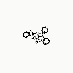 O=S(=O)(O)C(Nc1nc2ccccc2s1)C(c1ccccc1)N1CCOCC1